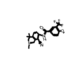 COc1ccc(C(=O)Nc2ccc3c(c2C#N)CN(C)CC3(C)C)cc1C(F)(F)F